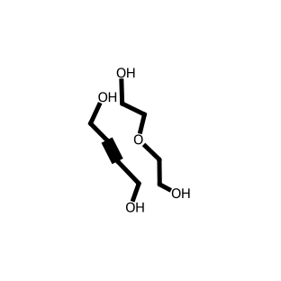 OCC#CCO.OCCOCCO